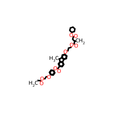 C=CC(=O)OCCOc1ccc(OC(=O)c2ccc3c(c2)C(C)c2cc(OCCCOC(=O)C(=C)CC(=O)OC4CCCCC4)ccc2-3)cc1